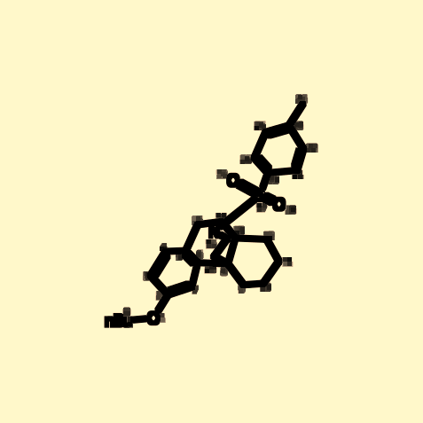 CCCCOc1ccc2c(c1)C13CCCCC1C(C2)N(S(=O)(=O)c1ccc(C)cc1)CC3